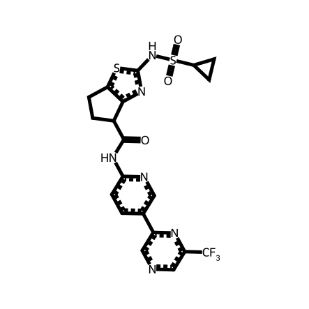 O=C(Nc1ccc(-c2cncc(C(F)(F)F)n2)cn1)C1CCc2sc(NS(=O)(=O)C3CC3)nc21